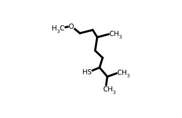 COCCC(C)CCC(S)C(C)C